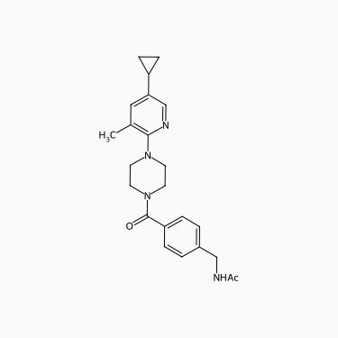 CC(=O)NCc1ccc(C(=O)N2CCN(c3ncc(C4CC4)cc3C)CC2)cc1